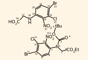 CCOC(=O)CN(C(=O)OC(C)(C)C)c1ccc(Br)c(Cl)c1[N+](=O)[O-].O=C(O)CNc1ccc(Br)c(Cl)c1[N+](=O)[O-]